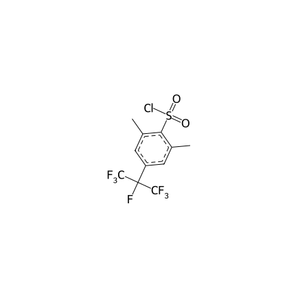 Cc1cc(C(F)(C(F)(F)F)C(F)(F)F)cc(C)c1S(=O)(=O)Cl